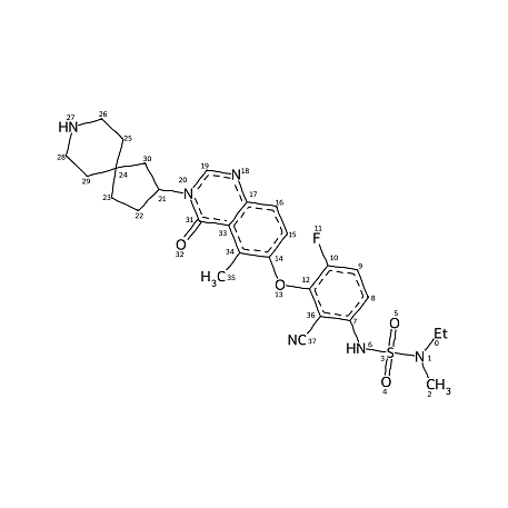 CCN(C)S(=O)(=O)Nc1ccc(F)c(Oc2ccc3ncn(C4CCC5(CCNCC5)C4)c(=O)c3c2C)c1C#N